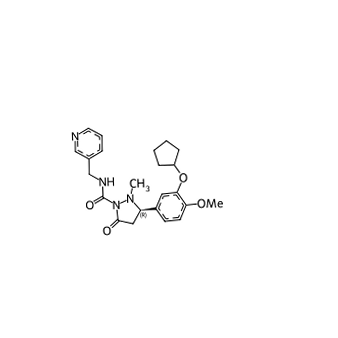 COc1ccc([C@H]2CC(=O)N(C(=O)NCc3cccnc3)N2C)cc1OC1CCCC1